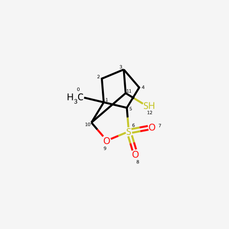 CC12CC3CC1S(=O)(=O)OC2C3S